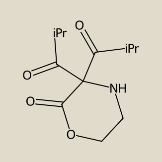 CC(C)C(=O)C1(C(=O)C(C)C)NCCOC1=O